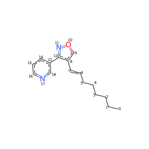 CCCCCCC=Cc1conc1-c1cccnc1